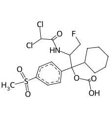 CS(=O)(=O)c1ccc(C(OC(=O)O)(C2CCCCC2)C(CF)NC(=O)C(Cl)Cl)cc1